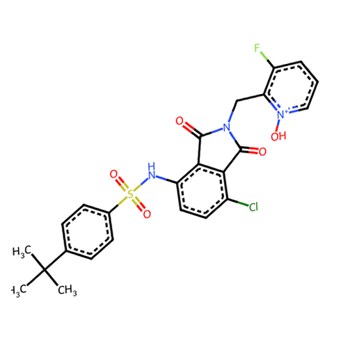 CC(C)(C)c1ccc(S(=O)(=O)Nc2ccc(Cl)c3c2C(=O)N(Cc2c(F)ccc[n+]2O)C3=O)cc1